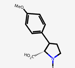 COc1ccc(C2CCN(C(C)=O)[C@@H]2C(=O)O)cc1